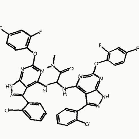 CN(C)C(=O)C(Nc1nc(Oc2ccc(F)cc2F)nc2[nH]nc(-c3ccccc3Cl)c12)Nc1nc(Oc2ccc(F)cc2F)nc2[nH]nc(-c3ccccc3Cl)c12